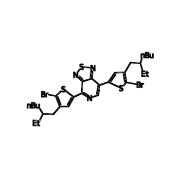 CCCCC(CC)Cc1cc(-c2cnc(-c3cc(CC(CC)CCCC)c(Br)s3)c3nsnc23)sc1Br